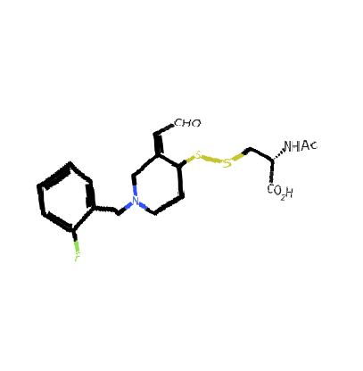 CC(=O)N[C@@H](CSSC1CCN(Cc2ccccc2F)C/C1=C/C=O)C(=O)O